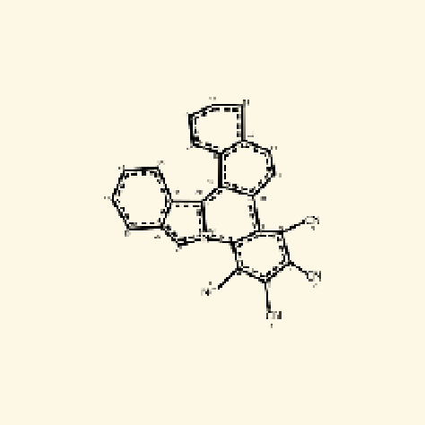 N#Cc1c(C#N)c(C#N)c2c(c1C#N)c1ccc3ccccc3c1c1c3ccccc3cn21